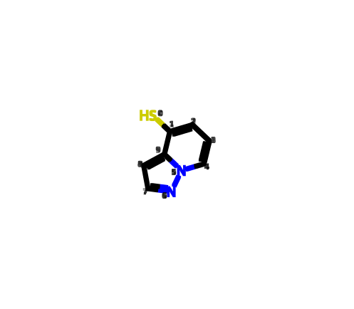 Sc1cccn2nccc12